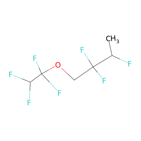 CC(F)C(F)(F)COC(F)(F)C(F)F